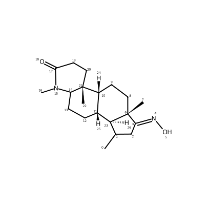 CC1CC(=NO)[C@@]2(C)CC[C@@H]3[C@@H](CCC4N(C)C(=O)CC[C@@]43C)[C@H]12